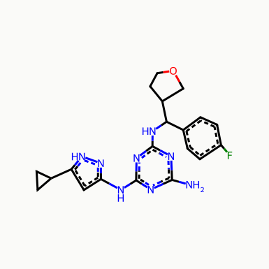 Nc1nc(Nc2cc(C3CC3)[nH]n2)nc(NC(c2ccc(F)cc2)C2CCOC2)n1